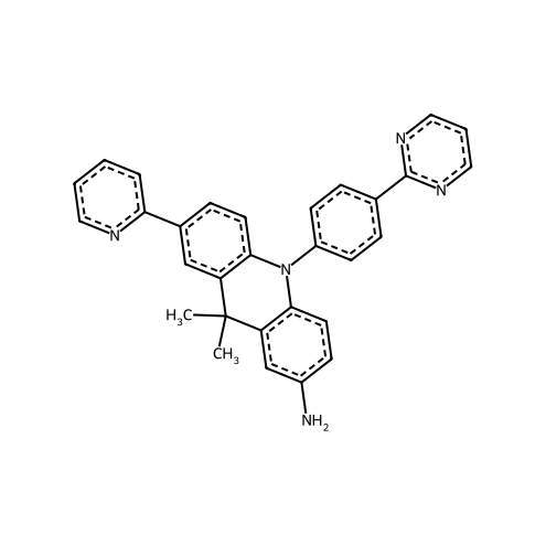 CC1(C)c2cc(N)ccc2N(c2ccc(-c3ncccn3)cc2)c2ccc(-c3ccccn3)cc21